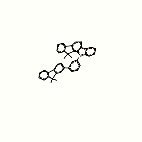 CC1(C)c2ccccc2-c2ccc(-c3cccc(-n4c5ccccc5c5ccc6c(c54)C(C)(C)c4ccccc4-6)c3)cc21